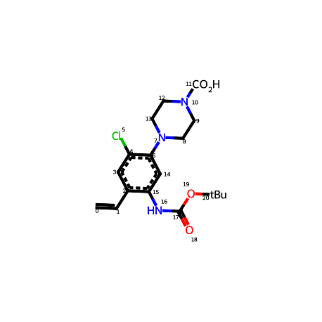 C=Cc1cc(Cl)c(N2CCN(C(=O)O)CC2)cc1NC(=O)OC(C)(C)C